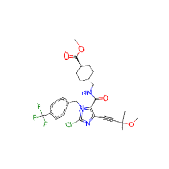 COC(=O)[C@H]1CC[C@H](CNC(=O)c2c(C#CC(C)(C)OC)nc(Cl)n2Cc2ccc(C(F)(F)F)cc2)CC1